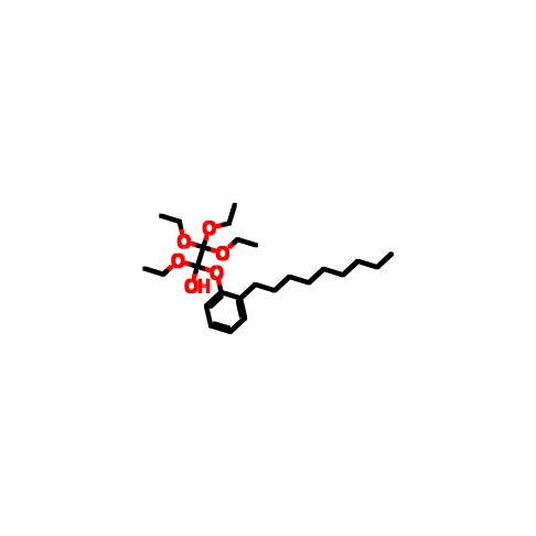 CCCCCCCCCc1ccccc1OC(O)(OCC)C(OCC)(OCC)OCC